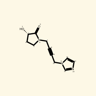 O=C1[C@@H](O)CCN1CC#CCn1ccnc1